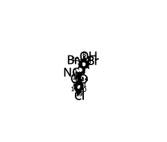 N#C/C(=C\c1cc(Br)c(O)c(Br)c1)S(=O)(=O)c1ccc(Cl)cc1